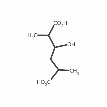 CC(CC(O)C(C)C(=O)O)C(=O)O